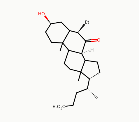 CCOC(=O)CC[C@@H](C)[C@H]1CCC2[C@@H]3C(=O)[C@H](CC)C4C[C@H](O)CCC4(C)C3CCC21C